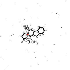 CC1=[C]([Zr]([CH3])([CH3])(=[SiH2])[c]2cccc3c2Cc2ccccc2-3)CC=C1.Cl.Cl